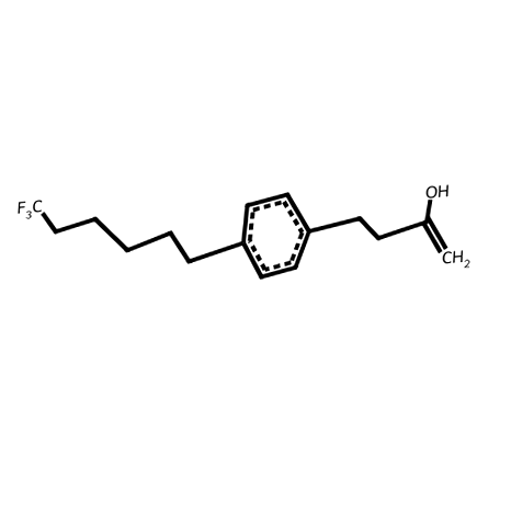 C=C(O)CCc1ccc(CCCCCC(F)(F)F)cc1